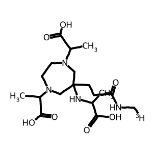 [3H]CNC(=O)CCC1(NC(C)C(=O)O)CN(C(C)C(=O)O)CCN(C(C)C(=O)O)C1